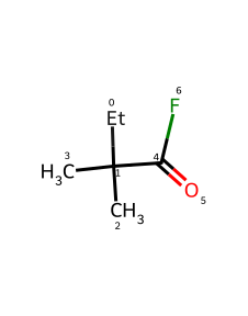 CCC(C)(C)C(=O)F